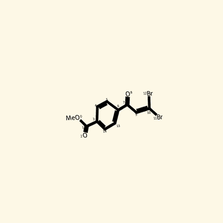 COC(=O)c1ccc(C(=O)C=C(Br)Br)cc1